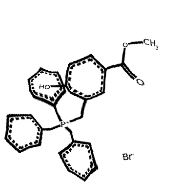 COC(=O)c1ccc(O)c(C[P+](c2ccccc2)(c2ccccc2)c2ccccc2)c1.[Br-]